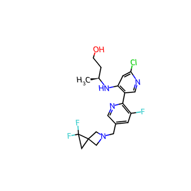 C[C@@H](CCO)Nc1cc(Cl)ncc1-c1ncc(CN2CC3(C2)CC3(F)F)cc1F